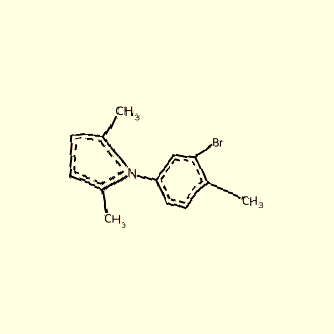 Cc1ccc(-n2c(C)ccc2C)cc1Br